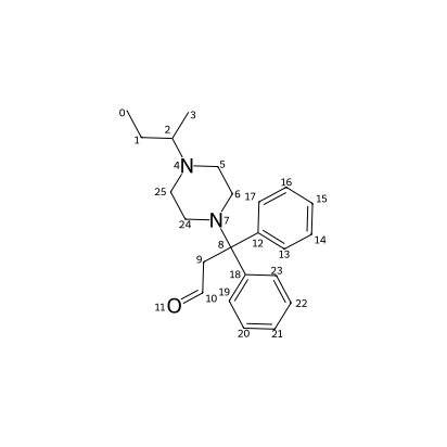 CCC(C)N1CCN(C(CC=O)(c2ccccc2)c2ccccc2)CC1